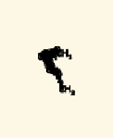 CCCCCCCOc1ccc(C(=O)Oc2ccc(C[C@H](NC(=O)c3ccc(C(C)=O)cc3)C(=O)O)cc2)cc1